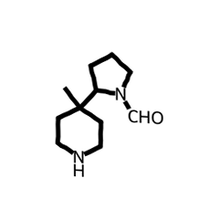 CC1(C2CCCN2C=O)CCNCC1